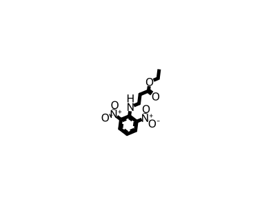 CCOC(=O)CCNc1c([N+](=O)[O-])cccc1[N+](=O)[O-]